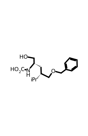 CC(C)[C@@H](COCc1ccccc1)C[C@@H](CO)NC(=O)O